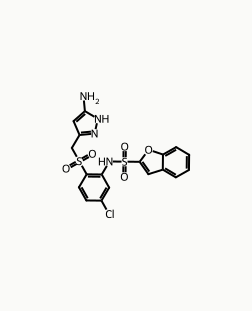 Nc1cc(CS(=O)(=O)c2ccc(Cl)cc2NS(=O)(=O)c2cc3ccccc3o2)n[nH]1